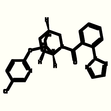 O=C(c1ccccc1-n1nccn1)N1C[C@@H]2CC[C@H]1[C@H](Oc1ccc(Cl)cn1)C2